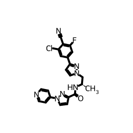 C[C@@H](Cn1ccc(-c2cc(F)c(C#N)c(Cl)c2)n1)NC(=O)c1ccn(-c2ccncc2)n1